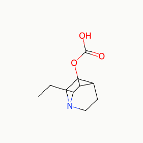 CCC1C(OC(=O)O)C2CCN1CC2